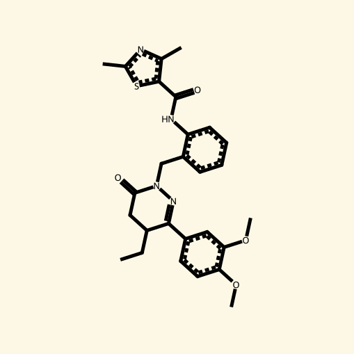 CCC1CC(=O)N(Cc2ccccc2NC(=O)c2sc(C)nc2C)N=C1c1ccc(OC)c(OC)c1